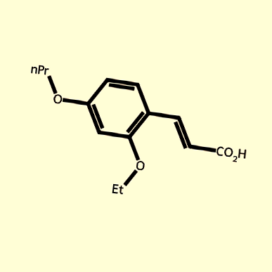 CCCOc1ccc(C=CC(=O)O)c(OCC)c1